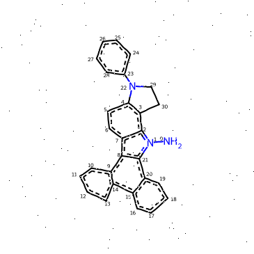 Nn1c2c3c(ccc2c2c4ccccc4c4ccccc4c21)N(c1ccccc1)CC3